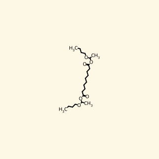 CCCCOC(C)OC(=O)CCCCCCCCC(=O)OC(C)OCCCC